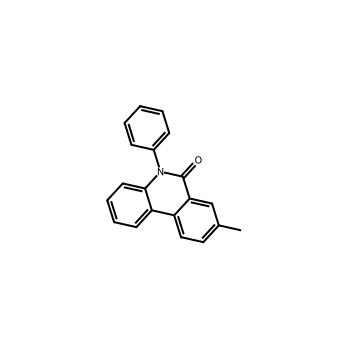 Cc1ccc2c(c1)c(=O)n(-c1ccccc1)c1ccccc21